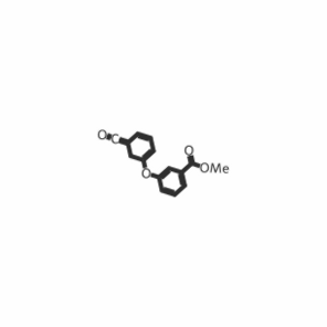 COC(=O)c1cccc(OC2=CC=CC(=C=O)C2)c1